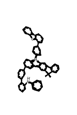 CC1(C)c2ccccc2-c2cc3c(cc21)c1cc(-c2cccc(-c4ccccc4Nc4ccccc4)c2)ccc1n3-c1ccc(-c2cccc3c2oc2ccccc23)cc1